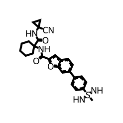 CS(=N)(=N)c1ccc(-c2ccc3cc(C(=O)NC4(C(=O)NC5(C#N)CC5)CCCCC4)oc3c2)cc1